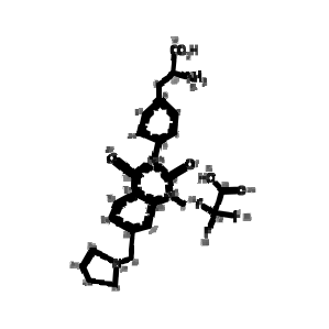 Cn1c(=O)n(-c2ccc(CC(N)C(=O)O)cc2)c(=O)c2ccc(CN3CCCC3)cc21.O=C(O)C(F)(F)F